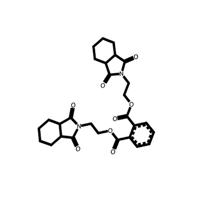 O=C(OCCN1C(=O)C2CCCCC2C1=O)c1ccccc1C(=O)OCCN1C(=O)C2CCCCC2C1=O